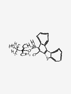 CC(C)(O)C(C)(C)OBc1c(Cl)c2sc3ccccc3c2c2ccccc12